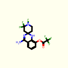 NC1=NC2(CCN(F)C(F)(F)C2)Nc2c(OC(=O)C(F)(F)F)cccc21